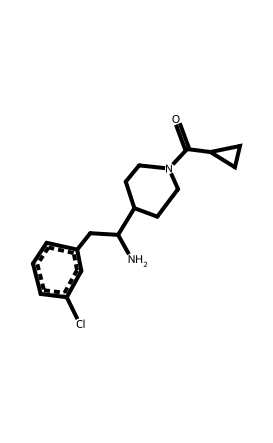 NC(Cc1cccc(Cl)c1)C1CCN(C(=O)C2CC2)CC1